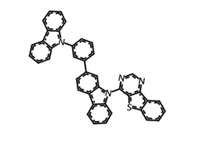 c1cc(-c2ccc3c4ccccc4n(-c4ncnc5c4sc4ccccc45)c3c2)cc(-n2c3ccccc3c3ccccc32)c1